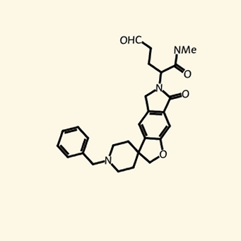 CNC(=O)C(CCC=O)N1Cc2cc3c(cc2C1=O)OCC31CCN(Cc2ccccc2)CC1